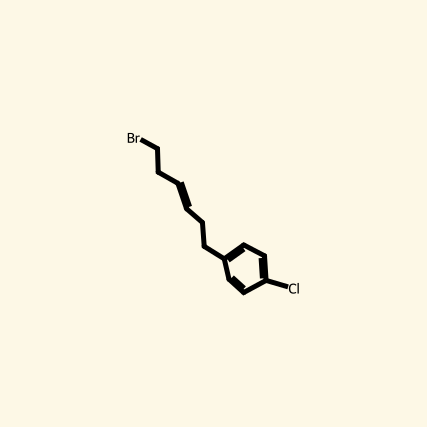 Clc1ccc(CC/C=C/CCBr)cc1